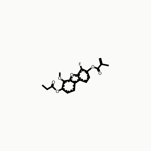 C=C(C)C(=O)Oc1ccc2c(oc3c(OC)c(OC(=O)CC)ccc32)c1F